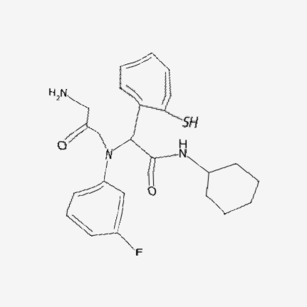 NCC(=O)N(c1cccc(F)c1)C(C(=O)NC1CCCCC1)c1ccccc1S